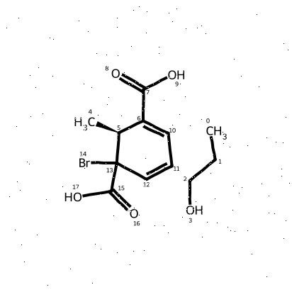 CCCO.C[C@H]1C(C(=O)O)=CC=CC1(Br)C(=O)O